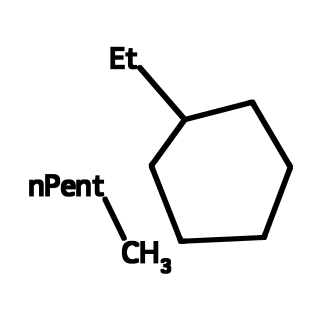 CCC1CCCCC1.CCCCCC